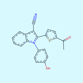 CC(=O)c1ccc(-c2c(C#N)c3ccccc3n2-c2ccc(O)cc2)s1